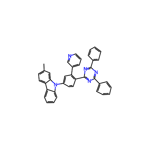 Cc1ccc2c3ccccc3n(-c3ccc(-c4nc(-c5ccccc5)nc(-c5ccccc5)n4)c(-c4cccnc4)c3)c2c1